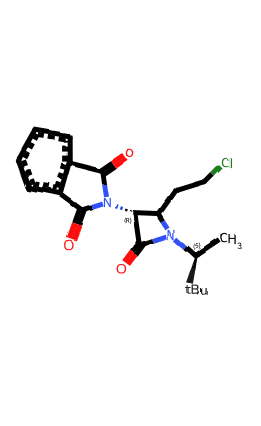 C[C@H](N1C(=O)[C@H](N2C(=O)c3ccccc3C2=O)C1CCCl)C(C)(C)C